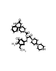 CCc1cc(C[C@@H](OC(=O)N2CCC3(CC2)CC(=O)Nc2ccccc23)C(=O)N2CCC(N3CCNCC3)CC2)cc(Cl)c1N